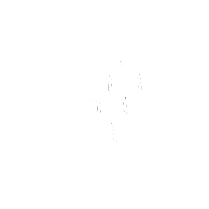 O=C(O)c1cc([N+](=O)[O-])c(Cl)c2ccccc12